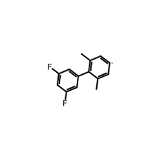 Cc1c[c]cc(C)c1-c1cc(F)cc(F)c1